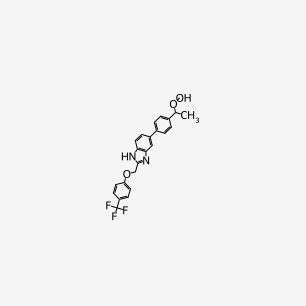 CC(OO)c1ccc(-c2ccc3[nH]c(COc4ccc(C(F)(F)F)cc4)nc3c2)cc1